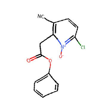 N#Cc1ccc(Cl)[n+]([O-])c1CC(=O)Oc1ccccc1